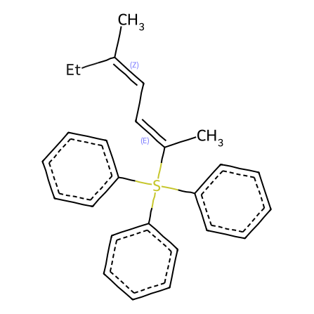 CC/C(C)=C\C=C(/C)S(c1ccccc1)(c1ccccc1)c1ccccc1